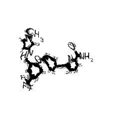 CN1CCC(NCc2cc(C(F)(F)F)ccc2Oc2ccc(-c3cccc(C(N)=O)n3)cc2)C1